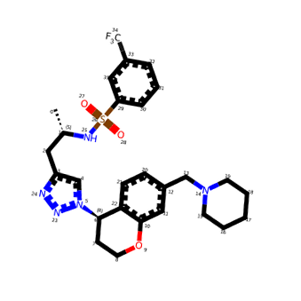 C[C@@H](Cc1cn([C@@H]2CCOc3cc(CN4CCCCC4)ccc32)nn1)NS(=O)(=O)c1cccc(C(F)(F)F)c1